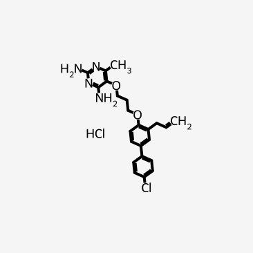 C=CCc1cc(-c2ccc(Cl)cc2)ccc1OCCCOc1c(C)nc(N)nc1N.Cl